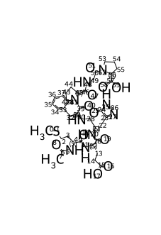 CSCC[C@H](NC(C)=O)C(=O)N[C@@H](CCC(=O)O)C(=O)N[C@@H](Cc1c[nH]cn1)C(=O)N[C@@H](Cc1ccccc1)C(=O)N1CCC[C@H]1C(=O)NCC(=O)N1CCC[C@H]1C(=O)O